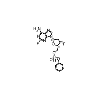 Nc1nc(F)nc2c1ncn2[C@H]1C[C@H](F)[C@@H](CO[PH](=O)Oc2ccccc2)O1